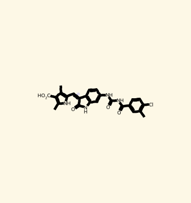 Cc1cc(C(=O)NC(=O)Nc2ccc3c(c2)NC(=O)/C3=C\c2[nH]c(C)c(C(=O)O)c2C)ccc1Cl